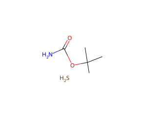 CC(C)(C)OC(N)=O.S